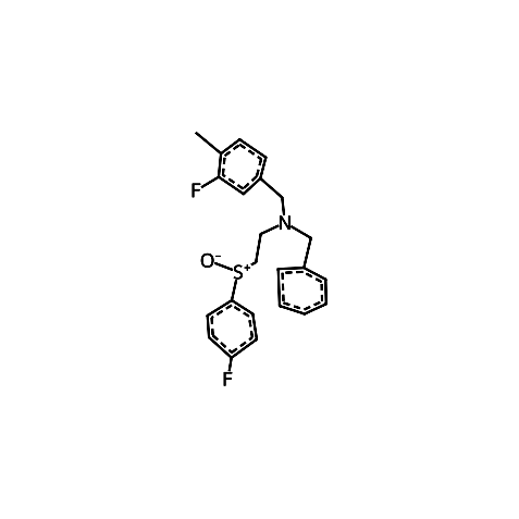 Cc1ccc(CN(CC[S+]([O-])c2ccc(F)cc2)Cc2ccccc2)cc1F